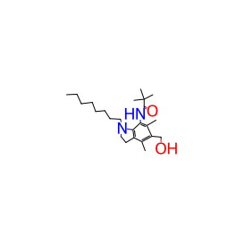 CCCCCCCCN1CCc2c(C)c(CO)c(C)c(NC(=O)C(C)(C)C)c21